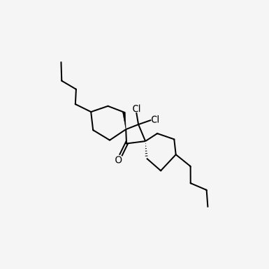 CCCCC1CC[C@]2(CC1)C(=O)[C@@]1(CCC(CCCC)CC1)C2(Cl)Cl